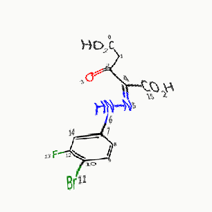 O=C(O)CC(=O)/C(=N\Nc1ccc(Br)c(F)c1)C(=O)O